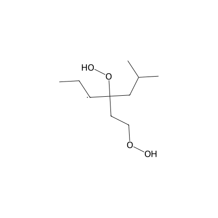 CC[CH]C(CCOO)(CC(C)C)OO